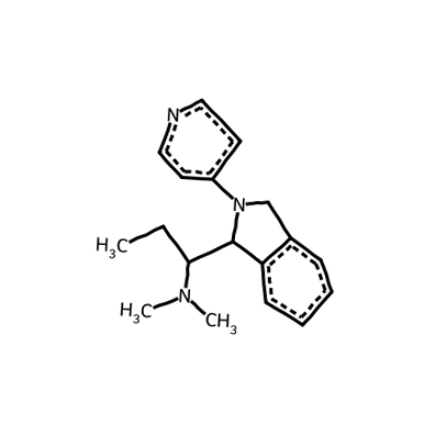 CCC(C1c2ccccc2CN1c1ccncc1)N(C)C